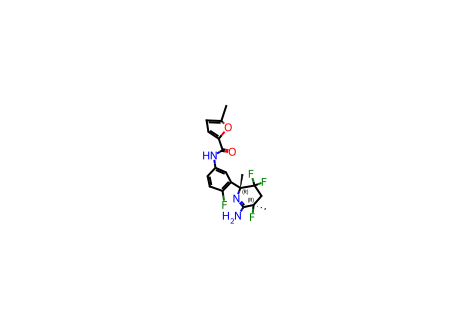 Cc1ccc(C(=O)Nc2ccc(F)c([C@@]3(C)N=C(N)[C@](C)(F)CC3(F)F)c2)o1